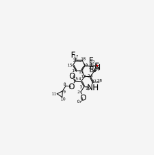 COCC1=C(C(=O)OCC2CC2)C(c2ccc(F)cc2C(F)(F)F)C(C#N)=C(C)N1